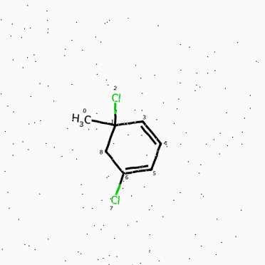 CC1(Cl)C=CC=C(Cl)C1